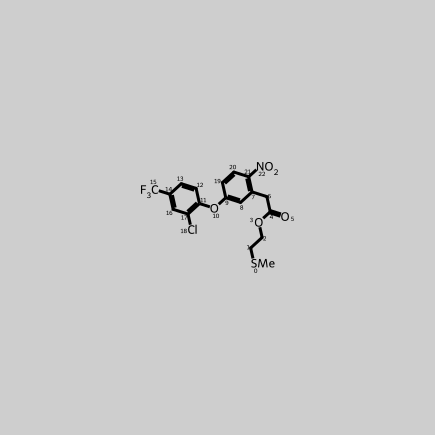 CSCCOC(=O)Cc1cc(Oc2ccc(C(F)(F)F)cc2Cl)ccc1[N+](=O)[O-]